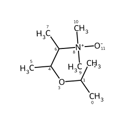 CC(C)OC(C)C(C)[N+](C)(C)[O-]